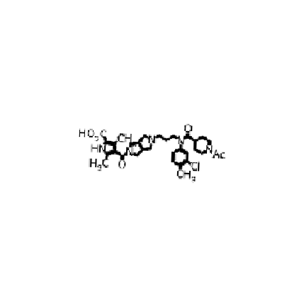 CC(=O)N1CCC(C(=O)N(CCCN2CC3CN(C(=O)c4c(C)[nH]c(C(=O)O)c4C)CC3C2)c2ccc(C)c(Cl)c2)CC1